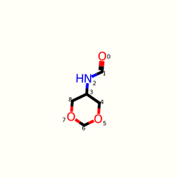 O=CNC1COCOC1